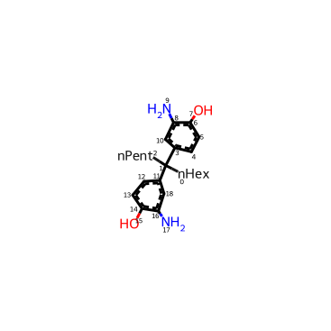 CCCCCCC(CCCCC)(c1ccc(O)c(N)c1)c1ccc(O)c(N)c1